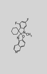 CN1c2cc(F)cc(F)c2C2(CCCCC2)C12C=Nc1c(ccc3cnccc13)O2